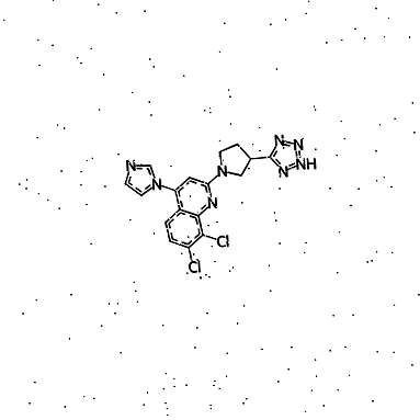 Clc1ccc2c(-n3ccnc3)cc(N3CCC(c4nn[nH]n4)C3)nc2c1Cl